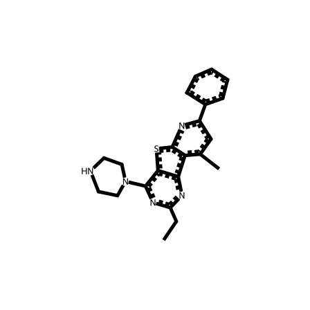 CCc1nc(N2CCNCC2)c2sc3nc(-c4ccccc4)cc(C)c3c2n1